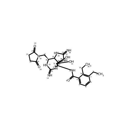 CCc1cccc(C(=O)NC2CN3C(=N)N[C@@H](CN4C(=O)CCC4=O)C4NC(=N)NC43C2(O)O)c1CC